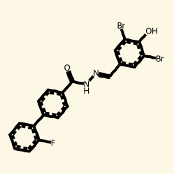 O=C(NN=Cc1cc(Br)c(O)c(Br)c1)c1ccc(-c2ccccc2F)cc1